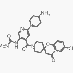 CNC(=O)Nc1cnc(N2CCC(N)CC2)cc1C(=O)N1CCC2(CC1)CC(=O)c1cc(C#N)ccc1O2